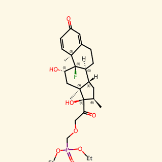 CCOP(=O)(COCC(=O)[C@@]1(O)[C@H](C)C[C@H]2[C@@H]3CCC4=CC(=O)C=C[C@]4(C)[C@@]3(F)[C@@H](O)C[C@@]21C)OCC